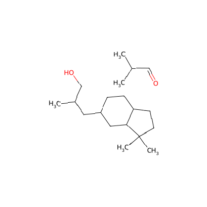 CC(C)C=O.CC(CO)CC1CCC2CCC(C)(C)C2C1